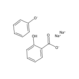 O=C([O-])c1ccccc1O.[Na+].[Na+].[O-]c1ccccc1